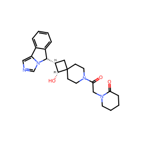 O=C(CN1CCCCC1=O)N1CCC2(CC1)C[C@@H](C1c3ccccc3-c3cncn31)[C@H]2O